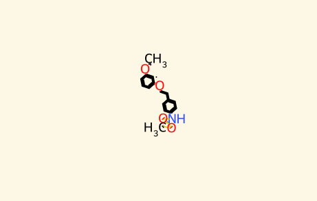 CCOc1[c]c(OCCc2ccc(NS(C)(=O)=O)cc2)ccc1